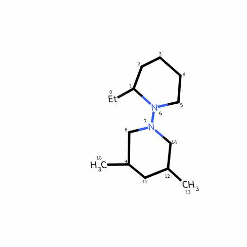 CCC1CCCCN1N1CC(C)CC(C)C1